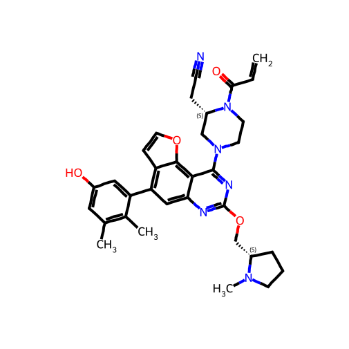 C=CC(=O)N1CCN(c2nc(OC[C@@H]3CCCN3C)nc3cc(-c4cc(O)cc(C)c4C)c4ccoc4c23)C[C@@H]1CC#N